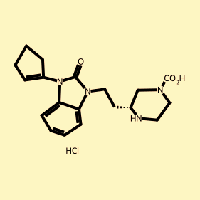 Cl.O=C(O)N1CCN[C@H](CCn2c(=O)n(C3=CCCC3)c3ccccc32)C1